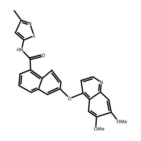 COc1cc2nccc(Oc3ccc4c(C(=O)Nc5cc(C)ns5)cccc4c3)c2cc1OC